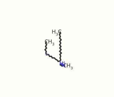 CCCCCCC/C=C\CCCCCCCCC(CCCCCCCCCCCCCCCCCC)[n+]1ccn(C)c1